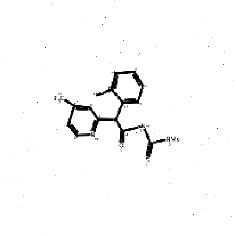 CNC(=S)NC(=O)C(c1cc(C(F)(F)F)ccn1)c1ccccc1C